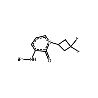 CC(C)Nc1cccn(C2CC(F)(F)C2)c1=O